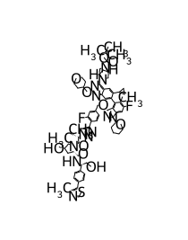 Cc1ncsc1-c1ccc([C@H](CO)NC(=O)[C@@H]2C[C@@H](O)CN2C(=O)[C@H](C(C)C)n2cc(-c3ccc(COc4c(-c5c(C)c(F)cc6c5cnn6C5CCCCO5)c(C5CC5)cc5c(N6C[C@@H]7C[C@H]6CN7C(=O)OC(C)(C)C)nc(OC6CCOCC6)nc45)cc3F)nn2)cc1